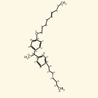 CCCCCCCCCOc1ccc(C(C)c2ccc(CCCCCCC)cn2)cc1